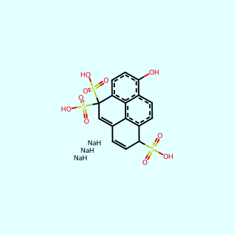 O=S(=O)(O)C1C=CC2=CC(S(=O)(=O)O)(S(=O)(=O)O)c3ccc(O)c4ccc1c2c34.[NaH].[NaH].[NaH]